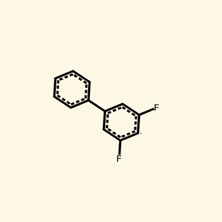 Fc1[c]c(F)cc(-c2ccccc2)c1